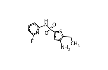 CCc1sc(S(=O)(=O)Nc2cccc(F)n2)cc1N